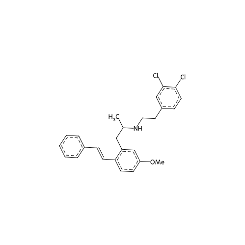 COc1ccc(/C=C/c2ccccc2)c(CC(C)NCCc2ccc(Cl)c(Cl)c2)c1